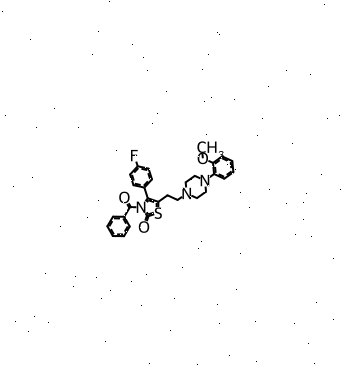 COc1ccccc1N1CCN(CCc2sc(=O)n(C(=O)c3ccccc3)c2-c2ccc(F)cc2)CC1